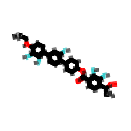 CCOc1ccc(-c2ccc(C3=CCC(OC(=O)c4ccc(C(C)O)c(F)c4F)CC3)c(F)c2)c(F)c1F